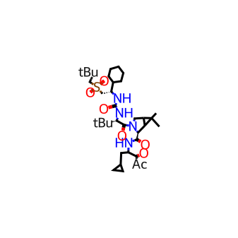 CC(=O)C(=O)C(CC1CC1)NC(=O)[C@@H]1C2C(CN1C(=O)[C@@H](NC(=O)N[C@H](CS(=O)(=O)CC(C)(C)C)C1CCCCC1)C(C)(C)C)C2(C)C